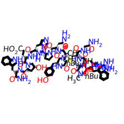 CCCC[C@@H](C(=O)N(C)[C@@H](CCCC)C(=O)N[C@@H](CCCNC(=N)N)C(=O)N[C@@H](CSCC(=O)N[C@@H](Cc1ccc(O)cc1)C(=O)N(C)[C@@H](C)C(=O)N[C@@H](CC(N)=O)C(=O)N1CCC[C@H]1C(=O)N[C@@H](Cc1cnc[nH]1)C(=O)N[C@@H](CCC(=O)O)C(=O)N1C[C@H](O)C[C@H]1C(=O)N[C@@H](Cc1c[nH]c2ccccc12)C(N)=O)C(=O)NCC(N)=O)N(C)C(=O)[C@@H](N)Cc1c[nH]c2ccccc12